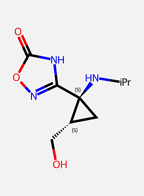 CC(C)N[C@@]1(c2noc(=O)[nH]2)C[C@@H]1CO